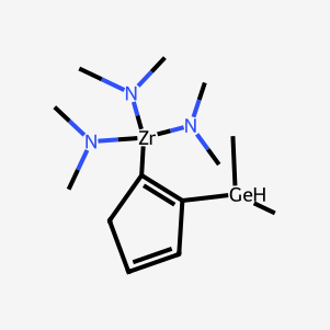 C[N](C)[Zr]([C]1=[C]([GeH]([CH3])[CH3])C=CC1)([N](C)C)[N](C)C